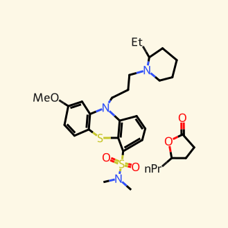 CCC1CCCCN1CCCN1c2cc(OC)ccc2Sc2c1cccc2S(=O)(=O)N(C)C.CCCC1CCC(=O)O1